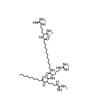 CCCCCCCCCC(=O)NC(CCCNC(=N)N)C(=O)NC(CCCNC(=N)N)C(=O)NCCCCCCCCCCCC(=O)NC(CCCNC(=N)N)C(N)=O